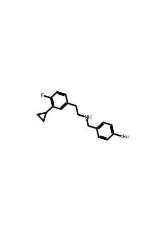 CC(C)(C)c1ccc(CNCCc2ccc(F)c(C3CC3)c2)cc1